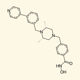 C[C@@H]1CN(Cc2ccc(C(=O)NO)cc2)C[C@H](C)N1Cc1cccc(-c2ccncc2)c1